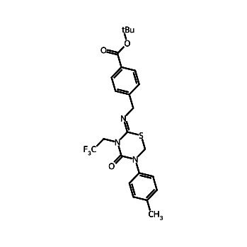 Cc1ccc(N2CS/C(=N\Cc3ccc(C(=O)OC(C)(C)C)cc3)N(CC(F)(F)F)C2=O)cc1